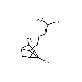 CC(C)=CCCC1(C)C2CC3C(C2)C31C